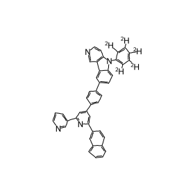 [2H]c1c([2H])c([2H])c(-n2c3ccncc3c3cc(-c4ccc(-c5cc(-c6cccnc6)nc(-c6ccc7ccccc7c6)c5)cc4)ccc32)c([2H])c1[2H]